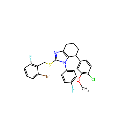 COc1cc(C2CCCc3nc(SCc4c(F)cccc4Br)n(-c4ccc(F)cc4)c32)ccc1Cl